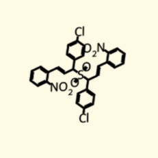 O=[N+]([O-])c1ccccc1C=CC(c1ccc(Cl)cc1)S(=O)(=O)C(C=Cc1ccccc1[N+](=O)[O-])c1ccc(Cl)cc1